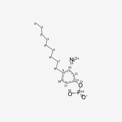 CCCCCCCCCc1ccc(OP([O-])[O-])cc1.[Ni+2]